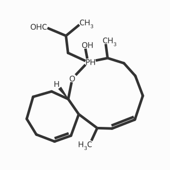 CC(C=O)C[PH]1(O)O[C@H]2CCCC/C=C\C2C(C)/C=C\CCCC1C